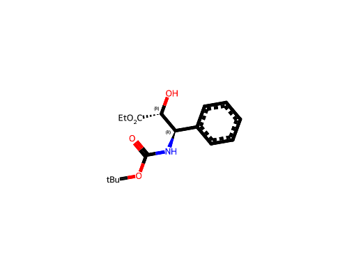 CCOC(=O)[C@H](O)[C@H](NC(=O)OC(C)(C)C)c1ccccc1